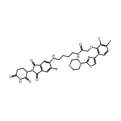 O=C(COc1c(-c2csc(N3CCOCC3)n2)ccc(F)c1F)NCCCCNc1cc2c(cc1F)C(=O)N(C1CCC(=O)NC1=O)C2=O